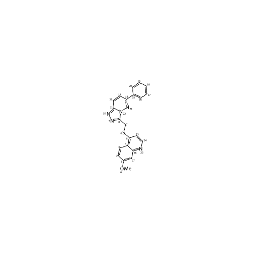 COc1ccc2c(SCc3nnc4ccc(-c5ccccc5)nn34)ccnc2c1